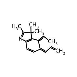 C=C/C=c1/ccc2c(/c1=C/C)C(C)(C)C(C)=N2